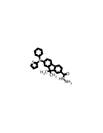 CC1(C)c2cc(C(=O)NN)ccc2-c2ccc(N(c3ccccc3)c3cccs3)cc21